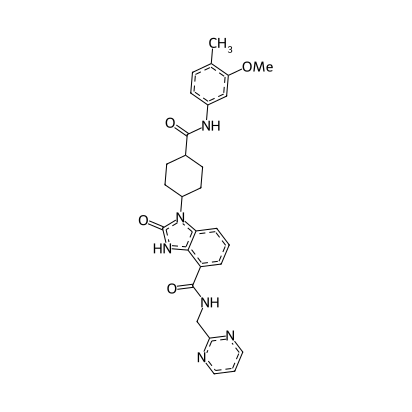 COc1cc(NC(=O)C2CCC(n3c(=O)[nH]c4c(C(=O)NCc5ncccn5)cccc43)CC2)ccc1C